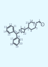 O=CN1CCC(C2CN(C(c3ccccc3)c3ccccc3)C2)CC1